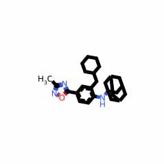 Cc1noc(-c2ccc(NC34CC5CC(CC(C5)C3)C4)c(CC3CCCCC3)c2)n1